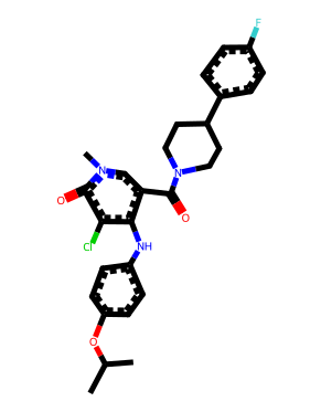 CC(C)Oc1ccc(Nc2c(C(=O)N3CCC(c4ccc(F)cc4)CC3)cn(C)c(=O)c2Cl)cc1